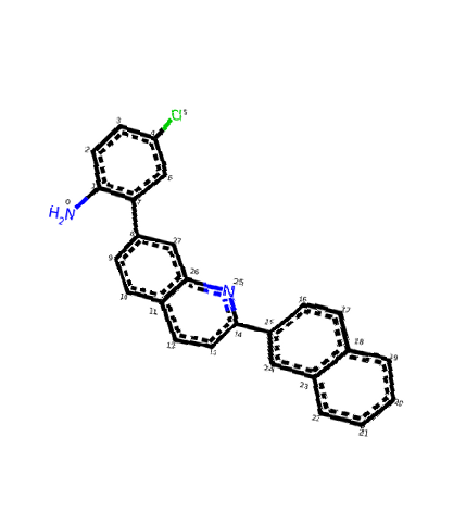 Nc1ccc(Cl)cc1-c1ccc2ccc(-c3ccc4ccccc4c3)nc2c1